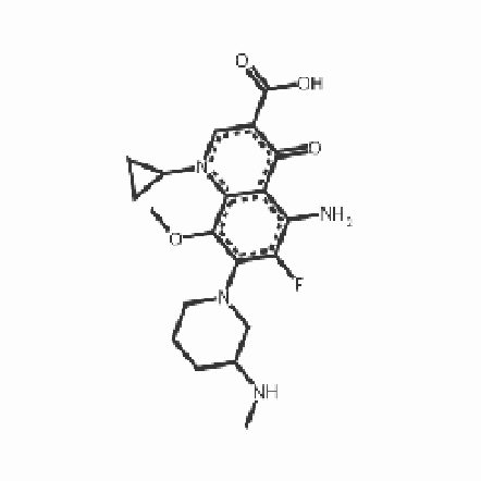 CNC1CCCN(c2c(F)c(N)c3c(=O)c(C(=O)O)cn(C4CC4)c3c2OC)C1